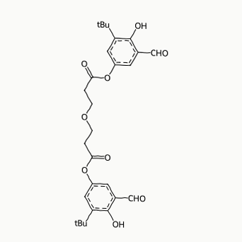 CC(C)(C)c1cc(OC(=O)CCOCCC(=O)Oc2cc(C=O)c(O)c(C(C)(C)C)c2)cc(C=O)c1O